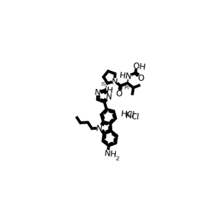 CCCCn1c2cc(N)ccc2c2ccc(-c3cnc([C@@H]4CCCN4C(=O)[C@H](NC(=O)O)C(C)C)[nH]3)cc21.Cl.Cl